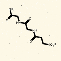 NC(=O)CNC(=O)CNC(=O)CCS(=O)(=O)O